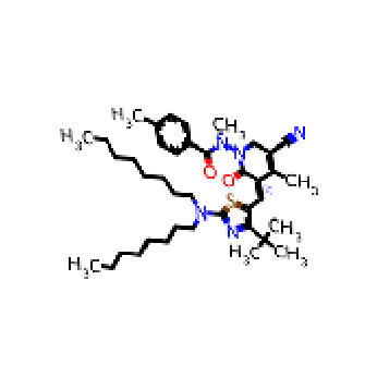 CCCCCCCCN(CCCCCCCC)c1nc(C(C)(C)C)c(/C=C2\C(=O)N(N(C)C(=O)c3ccc(C)cc3)CC(C#N)=C2C)s1